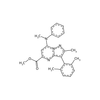 COC(=O)c1cc(N(C)c2ccccc2)n2nc(C)c(-c3c(C)cccc3C)c2n1